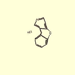 Cl.c1ccc2c(c1)oc1ccncc12